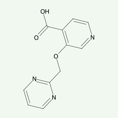 O=C(O)c1ccncc1OCc1ncccn1